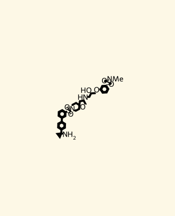 CNS(=O)(=O)c1cccc(OC[C@@H](O)CN[C@@H]2COC3(CCN(S(=O)(=O)c4cccc(-c5ccc(C6(N)CC6)cc5)c4)CC3)C2)c1